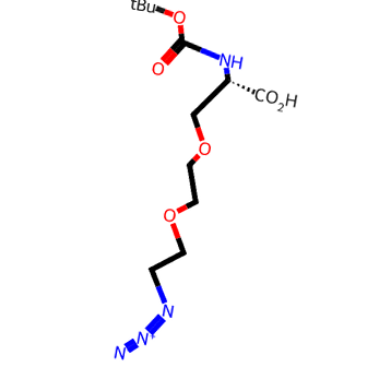 CC(C)(C)OC(=O)N[C@@H](COCCOCCN=[N+]=[N-])C(=O)O